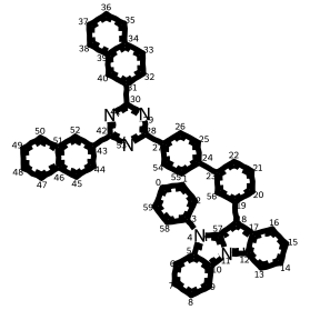 c1ccc(-n2c3ccccc3n3c4ccccc4c(-c4cccc(-c5ccc(-c6nc(-c7ccc8ccccc8c7)nc(-c7ccc8ccccc8c7)n6)cc5)c4)c23)cc1